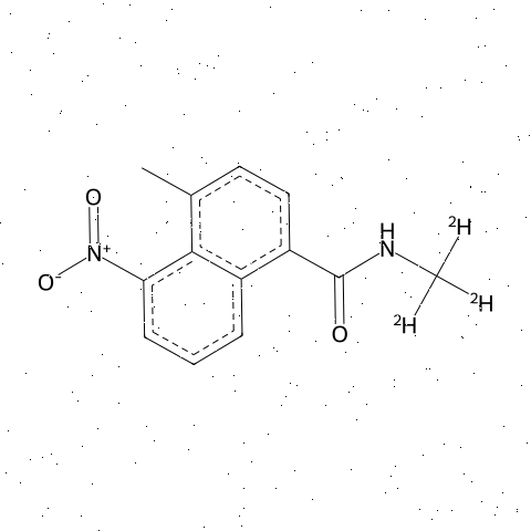 [2H]C([2H])([2H])NC(=O)c1ccc(C)c2c([N+](=O)[O-])cccc12